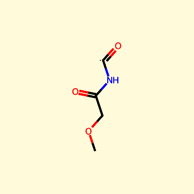 COCC(=O)N[C]=O